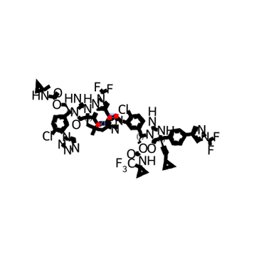 C=C(/C=C\C(=C/C)c1cnn(C(F)F)c1)[C@@]1(CC(C)(C)Cc2ccn(-c3cc([C@@H](COC(=O)NC4(C(F)(F)F)CC4)N4C(=N)N[C@](C#CC5CC5)(c5ccc(-c6cnn(C(F)F)c6)cc5)C4=O)ccc3Cl)n2)NC(=N)N([C@H](COC(=O)NC2(C)CC2)c2ccc(Cl)c(-n3cnnn3)c2)C1=O